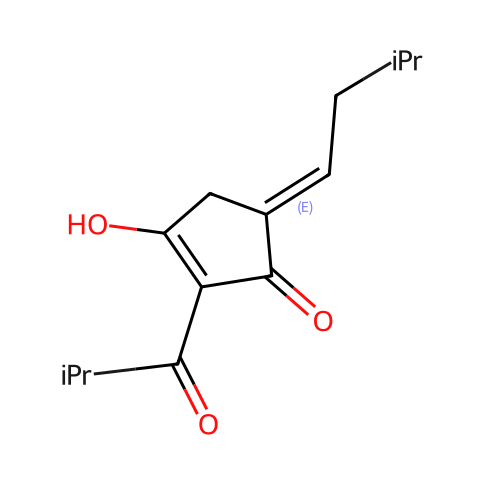 CC(C)C/C=C1\CC(O)=C(C(=O)C(C)C)C1=O